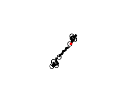 C=C1OCC(COCCCCCCOCC2COC(=O)O2)O1